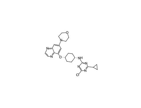 Clc1nc(N[C@H]2CC[C@@H](Oc3cc(N4CCOCC4)cc4nccnc34)CC2)nc(C2CC2)n1